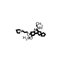 CCNc1nc2cc(OCCCN3CCCC3)c(OC)cc2c2c1CC1(CCCC1)C2